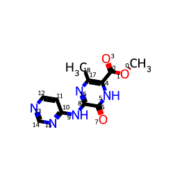 COC(=O)c1[nH]c(=O)c(Nc2ccncn2)nc1C